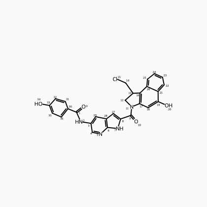 O=C(Nc1cnc2[nH]c(C(=O)N3CC(CCl)c4c3cc(O)c3ccccc43)cc2c1)c1ccc(O)cc1